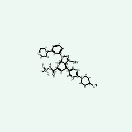 CC(C)c1nn(-c2cccc(N3CCOCC3)c2)c2nc(C(=O)NS(C)(=O)=O)cc(-c3cnc(N4CCC(C#N)CC4)nc3)c12